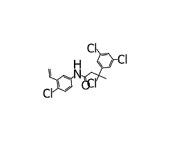 C=Cc1cc(NC(=O)CC(C)(Cl)c2cc(Cl)cc(Cl)c2)ccc1Cl